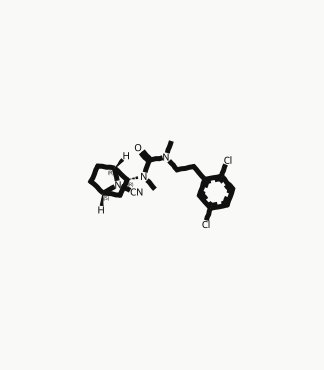 CN(CCc1cc(Cl)ccc1Cl)C(=O)N(C)[C@@H]1C[C@@H]2CC[C@H]1N2C#N